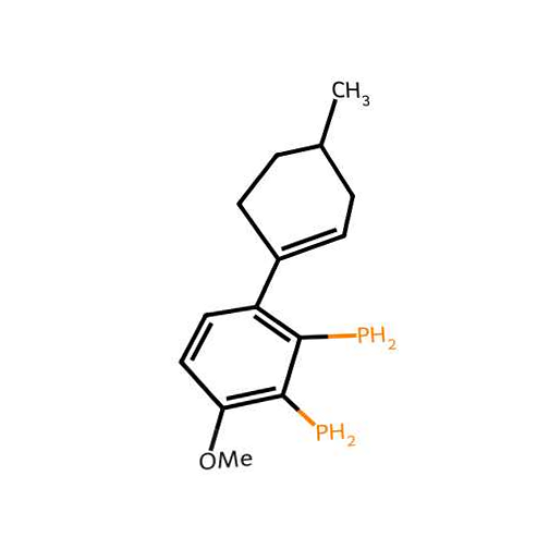 COc1ccc(C2=CCC(C)CC2)c(P)c1P